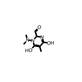 CC1=C(O)N(N(C)C)C(C=O)N=C1O